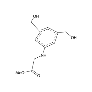 COC(=O)CNc1cc(CO)cc(CO)c1